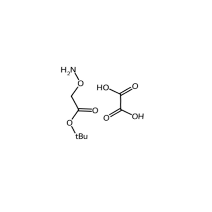 CC(C)(C)OC(=O)CON.O=C(O)C(=O)O